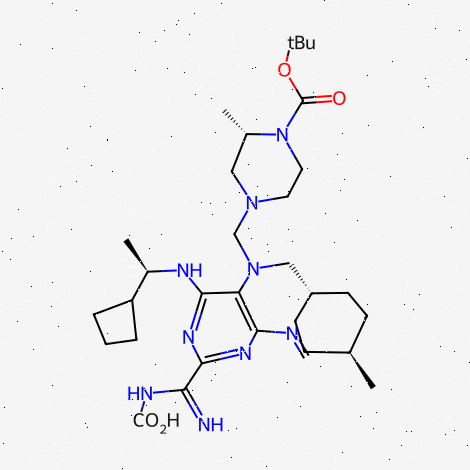 C=Nc1nc(C(=N)NC(=O)O)nc(N[C@H](C)C2CCC2)c1N(CN1CCN(C(=O)OC(C)(C)C)[C@@H](C)C1)C[C@H]1CC[C@H](C)CC1